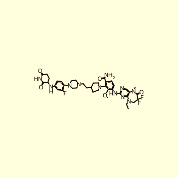 CCN1CC(F)(F)C(=O)N(C)c2cnc(Nc3ccc(C(N)=O)c(N4CCC(CCN5CCN(c6ccc(NC7CCC(=O)NC7=O)cc6F)CC5)CC4)c3OC)nc21